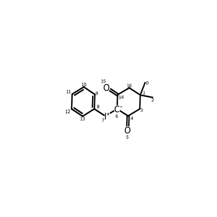 CC1(C)CC(=O)[C-]([I+]c2ccccc2)C(=O)C1